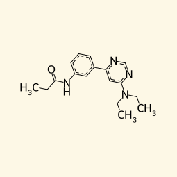 CCC(=O)Nc1cccc(-c2cc(N(CC)CC)ncn2)c1